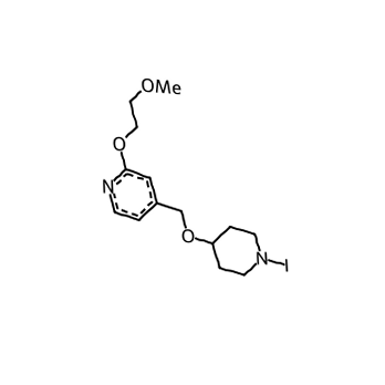 COCCOc1cc(COC2CCN(I)CC2)ccn1